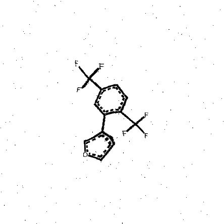 FC(F)(F)c1ccc(C(F)(F)F)c(-c2c[c]oc2)c1